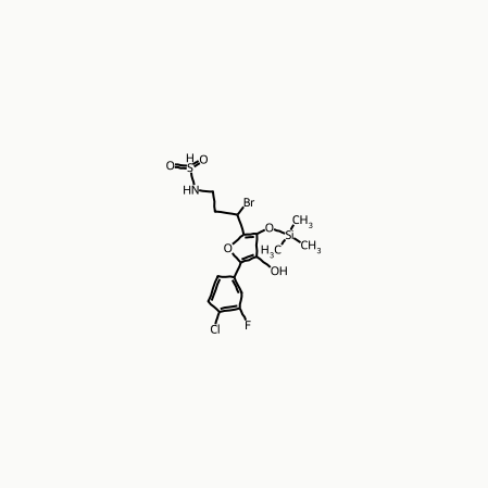 C[Si](C)(C)Oc1c(C(Br)CCN[SH](=O)=O)oc(-c2ccc(Cl)c(F)c2)c1O